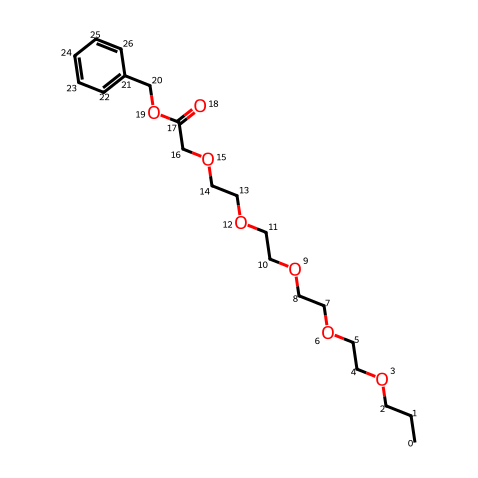 CCCOCCOCCOCCOCCOCC(=O)OCc1ccccc1